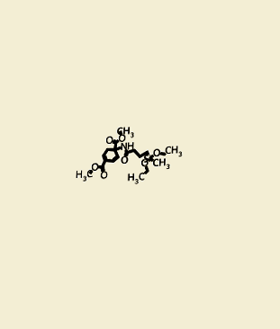 CCO[Si](C)(CCCC(=O)NC1(C(=O)OC)C=CC(C(=O)OC)=CC1)OCC